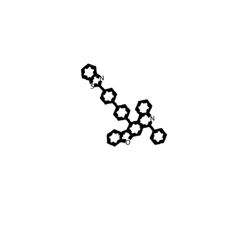 c1ccc(-c2nc3ccccc3c3c(-c4ccc(-c5ccc(-c6nc7ccccc7s6)cc5)cc4)c4c(cc23)oc2ccccc24)cc1